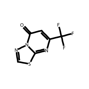 O=c1cc(C(F)(F)F)nc2scnn12